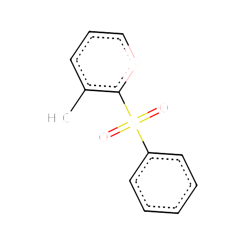 Cc1cccbc1S(=O)(=O)c1ccccc1